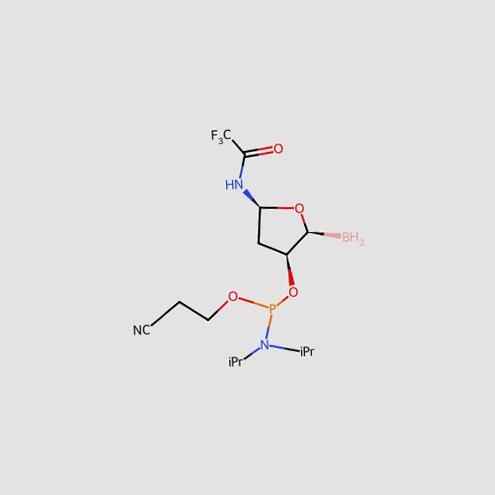 B[C@@H]1O[C@H](NC(=O)C(F)(F)F)C[C@@H]1OP(OCCC#N)N(C(C)C)C(C)C